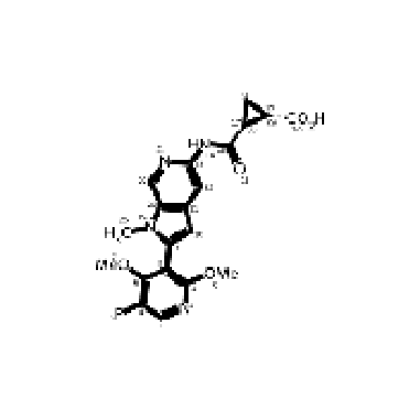 COc1ncc(F)c(OC)c1-c1cc2cc(NC(=O)[C@H]3C[C@@H]3C(=O)O)ncc2n1C